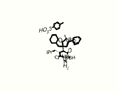 CC(C)C[C@@H](C(=O)NN)[C@H](C(=O)NO)C(/C=C/c1ccccc1)(CC1CCCCC1)C(=O)[C@@H](C)N.Cc1ccc(S(=O)(=O)O)cc1